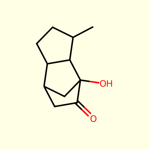 CC1CCC2C3CC(=O)C(O)(C3)C12